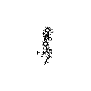 CCOC1CN(c2nccc(Oc3ccc(-n4ncn(Cc5c(F)cccc5F)c4=O)cc3)c2N)C1